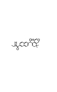 CCNC(=O)c1ccc2cc(C(O)C3=CCC(C)(C)C4=C3C=COC4)ccc2c1